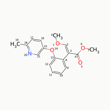 CO/C=C(/C(=O)OC)c1ccccc1Oc1ccc(C)nc1